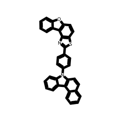 c1ccc2c(c1)ccc1c2c2ccccc2n1-c1ccc(-c2nc3c(ccc4oc5ccccc5c43)s2)cc1